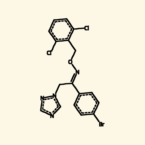 Clc1cccc(Cl)c1CON=C(Cn1cncn1)c1ccc(Br)cc1